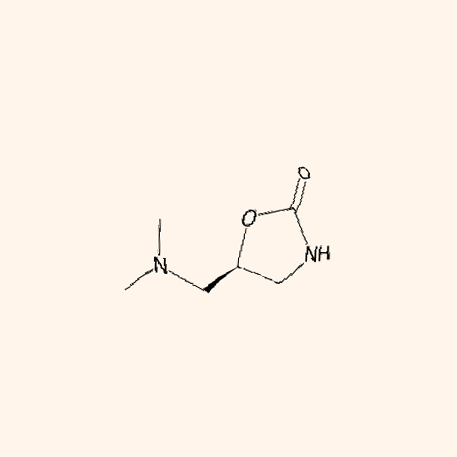 CN(C)C[C@@H]1CNC(=O)O1